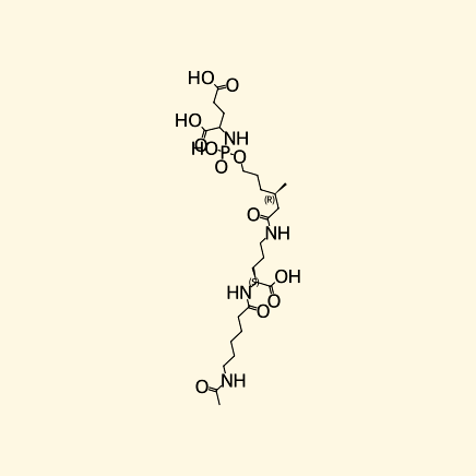 CC(=O)NCCCCCC(=O)N[C@@H](CCCNC(=O)C[C@H](C)CCCOP(=O)(O)NC(CCC(=O)O)C(=O)O)C(=O)O